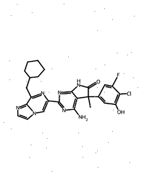 CC1(c2cc(O)c(Cl)c(F)c2)C(=O)Nc2nc(-c3cn4ccnc4c(CC4CCCCC4)n3)nc(N)c21